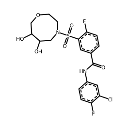 O=C(Nc1ccc(F)c(Cl)c1)c1ccc(F)c(S(=O)(=O)N2CCOCC(O)C(O)C2)c1